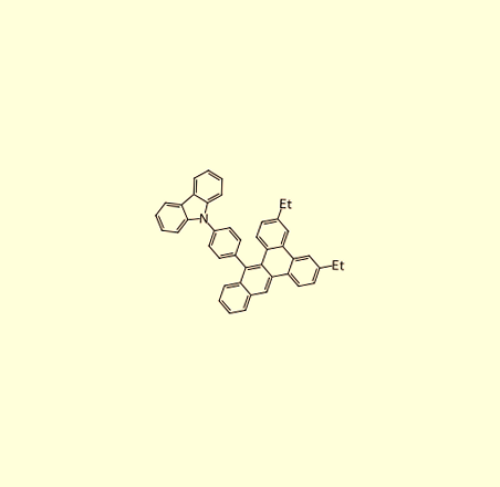 CCc1ccc2c(c1)c1cc(CC)ccc1c1c(-c3ccc(-n4c5ccccc5c5ccccc54)cc3)c3ccccc3cc21